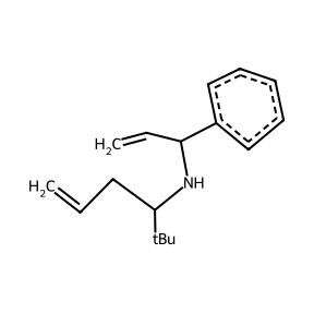 C=CCC(NC(C=C)c1ccccc1)C(C)(C)C